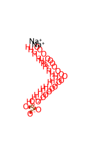 O.O.O.O.O.O.O.O.O.O.O.O.O.O.O.O.O.O.O=S(=O)([O-])[O-].[Na+].[Na+]